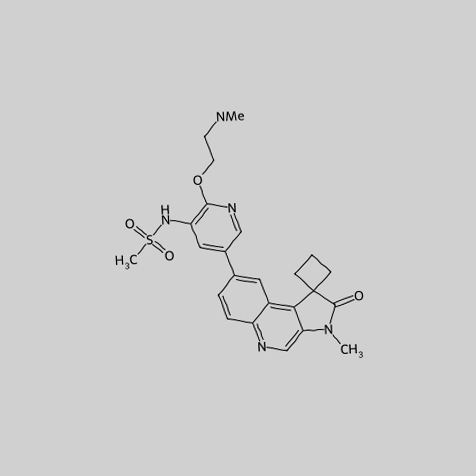 CNCCOc1ncc(-c2ccc3ncc4c(c3c2)C2(CCC2)C(=O)N4C)cc1NS(C)(=O)=O